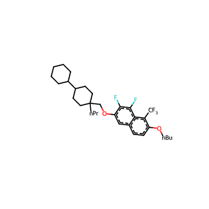 CCCCOc1ccc2cc(OCC3(CCC)CCC(C4CCCCC4)CC3)c(F)c(F)c2c1C(F)(F)F